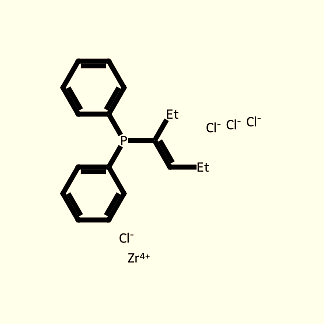 CCC=C(CC)P(c1ccccc1)c1ccccc1.[Cl-].[Cl-].[Cl-].[Cl-].[Zr+4]